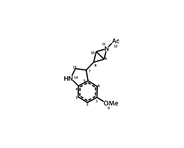 COc1ccc2c(c1)C(C1C3C1N3C(C)=O)CN2